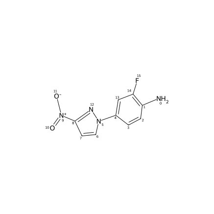 Nc1ccc(-n2ccc([N+](=O)[O-])n2)cc1F